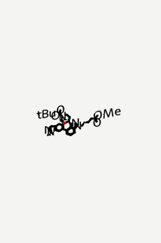 COC(=O)CCCCn1nc(C2CCN(C(=O)OC(C)(C)C)CC2)c2c(-c3cc4c(cnn4C)cc3F)cccc21